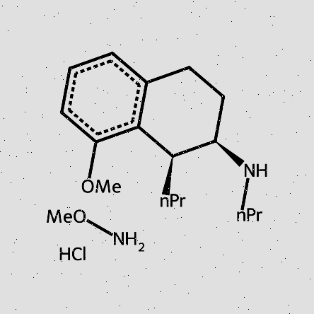 CCCN[C@@H]1CCc2cccc(OC)c2[C@@H]1CCC.CON.Cl